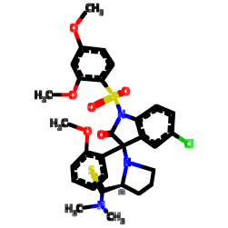 COc1ccc(S(=O)(=O)N2C(=O)C(c3ccccc3OC)(N3CCC[C@H]3C(=S)N(C)C)c3cc(Cl)ccc32)c(OC)c1